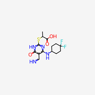 CC(Sc1nc(NC2CCC(F)(F)CC2)c(C=N)c(=O)[nH]1)C(=O)O